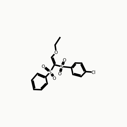 CCOC=C(S(=O)(=O)c1ccccc1)S(=O)(=O)c1ccc(Cl)cc1